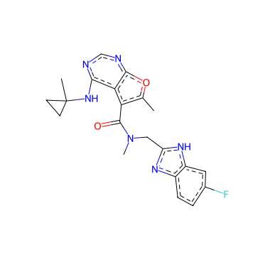 Cc1oc2ncnc(NC3(C)CC3)c2c1C(=O)N(C)Cc1nc2ccc(F)cc2[nH]1